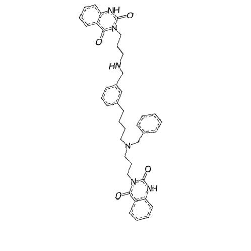 O=c1[nH]c2ccccc2c(=O)n1CCCNCc1cccc(CCCCN(CCCn2c(=O)[nH]c3ccccc3c2=O)Cc2ccccc2)c1